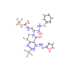 CC(C)CN(C(=O)c1cnc(C(C)(C)C)nc1NCc1ccco1)[C@@H](CNC(=O)OC(C)(C)C)C(=O)NCc1ccccc1